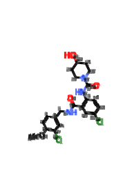 COc1ccc(CNC(=O)c2cc(Cl)ccc2NC(=O)N2CCC(O)CC2)cc1Cl